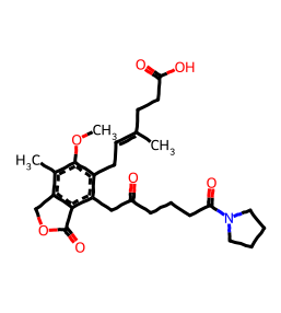 COc1c(C)c2c(c(CC(=O)CCCC(=O)N3CCCC3)c1C/C=C(\C)CCC(=O)O)C(=O)OC2